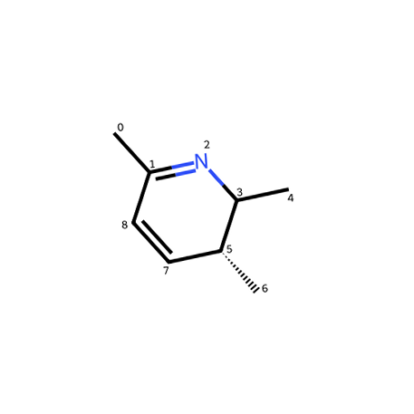 CC1=NC(C)[C@H](C)C=C1